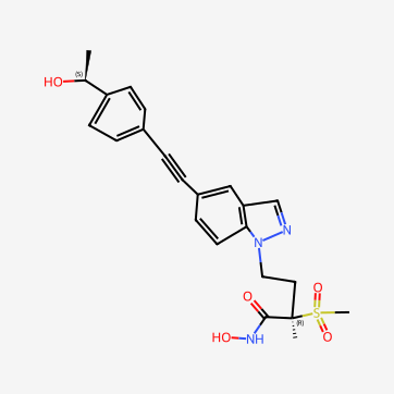 C[C@H](O)c1ccc(C#Cc2ccc3c(cnn3CC[C@](C)(C(=O)NO)S(C)(=O)=O)c2)cc1